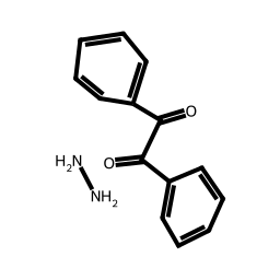 NN.O=C(C(=O)c1ccccc1)c1ccccc1